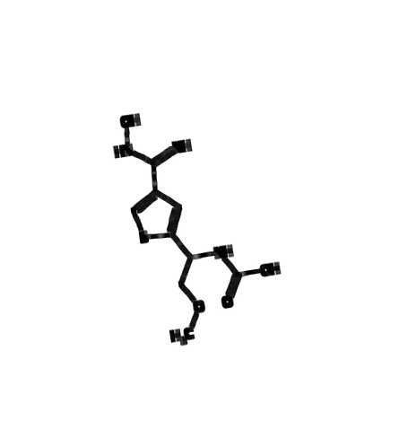 COCC(NC(=O)O)c1cc(C(=N)NO)cs1